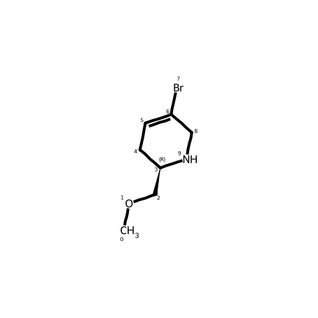 COC[C@H]1CC=C(Br)CN1